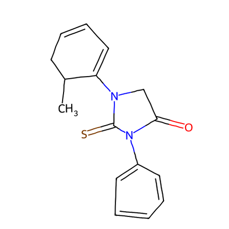 CC1CC=CC=C1N1CC(=O)N(c2ccccc2)C1=S